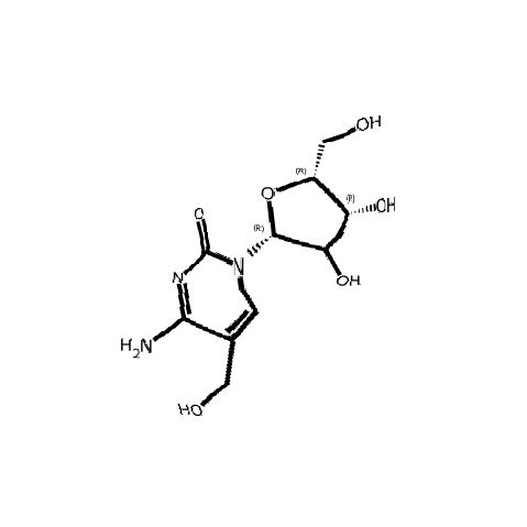 Nc1nc(=O)n([C@@H]2O[C@H](CO)[C@H](O)C2O)cc1CO